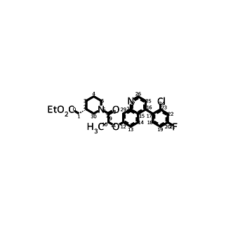 CCOC(=O)C[C@@H]1CCCN(C(=O)[C@@H](C)Oc2ccc3c(-c4ccc(F)cc4Cl)ccnc3c2)C1